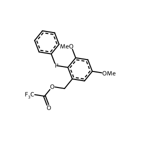 COc1cc(COC(=O)C(F)(F)F)c([I+]c2ccccc2)c(OC)c1